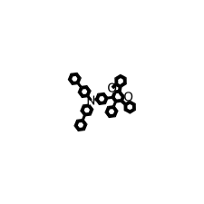 c1ccc(-c2ccc(N(c3ccc(-c4ccccc4)cc3)c3ccc(-c4c(-c5ccccc5)c5c6ccccc6oc5c5c4oc4ccccc45)cc3)cc2)cc1